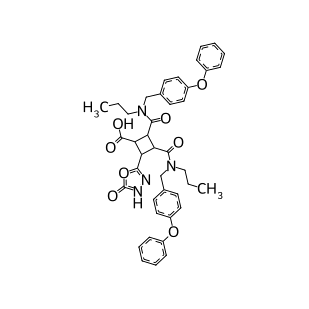 CCCN(Cc1ccc(Oc2ccccc2)cc1)C(=O)C1C(C(=O)O)C(c2n[nH]c(=O)o2)C1C(=O)N(CCC)Cc1ccc(Oc2ccccc2)cc1